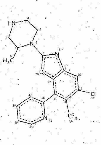 CC1CNCCN1c1nc2cc(Cl)c(C(F)(F)F)c(-c3ccccn3)c2o1